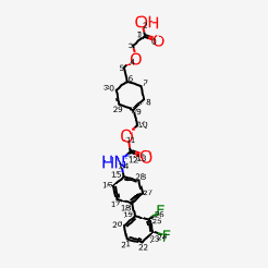 O=C(O)COCC1CCC(COC(=O)Nc2ccc(-c3cccc(F)c3F)cc2)CC1